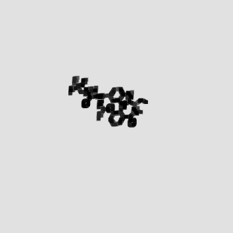 CC[C@@H]1c2nc3ccc(C#CC(=O)NCC(F)(F)F)cc3n2-c2c(OC(F)F)cccc2C(=O)N1C